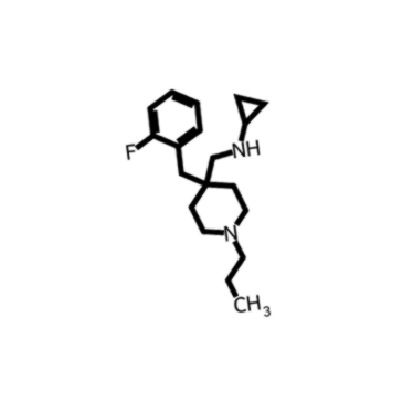 CCCN1CCC(CNC2CC2)(Cc2ccccc2F)CC1